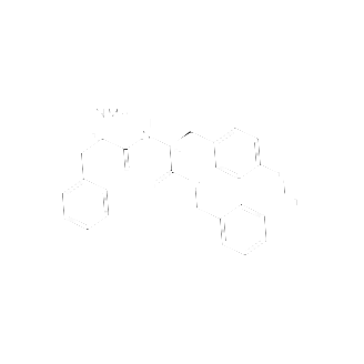 CN[C@@H](Cc1ccccc1)C(=O)N[C@@H](Cc1ccc(OC(C)C)cc1)C(=O)OCc1ccccc1